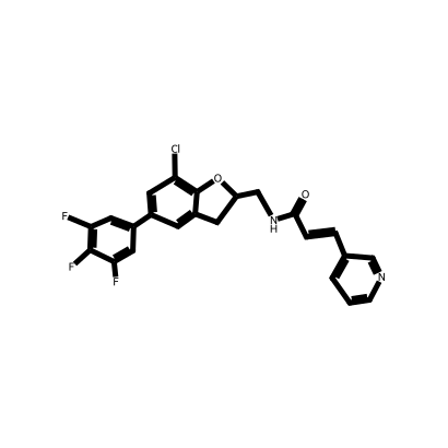 O=C(C=Cc1cccnc1)NCC1Cc2cc(-c3cc(F)c(F)c(F)c3)cc(Cl)c2O1